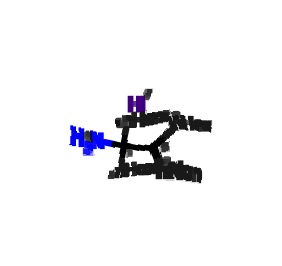 CCCCCCCCCC(CCCCCC)C(N)(CCCCCC)CCCCCC.I